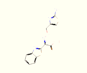 Nc1nc(CON=C(C(O)=S)c2nc3ccccc3s2)cs1